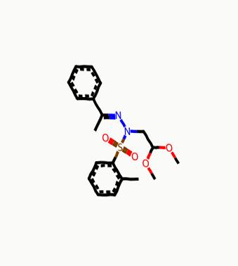 COC(CN(N=C(C)c1ccccc1)S(=O)(=O)c1ccccc1C)OC